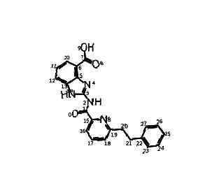 O=C(Nc1nc2c(C(=O)O)cccc2[nH]1)c1cccc(CCc2ccccc2)n1